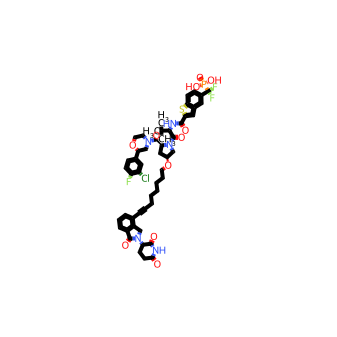 CC(C)(C)C(NC(=O)c1cc2cc(C(F)(F)P(=O)(O)O)ccc2s1)C(=O)N1C[C@@H](OCCCCCCC#Cc2cccc3c2CN(C2CCC(=O)NC2=O)C3=O)C[C@H]1C(=O)N1CCOC(c2ccc(F)c(Cl)c2)C1